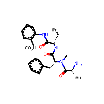 CC[C@@H](C)[C@H](N)C(=O)N(C)[C@H](Cc1ccccc1)C(=O)N[C@@H](CC(C)C)C(=O)Nc1ccccc1C(=O)O